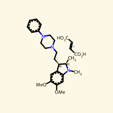 COc1cc2c(cc1OC)N(C)[C@H](C)[C@@H]2CCN1CCN(c2ccccc2)CC1.O=C(O)/C=C/C(=O)O